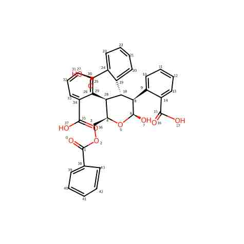 O=C(OC[C@@H]1O[C@H](O)[C@H](c2ccccc2C(=O)O)[C@@H](c2ccccc2C(=O)O)[C@@H]1c1ccccc1C(=O)O)c1ccccc1